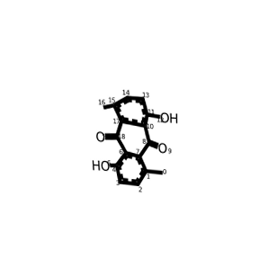 Cc1ccc(O)c2c1C(=O)c1c(O)ccc(C)c1C2=O